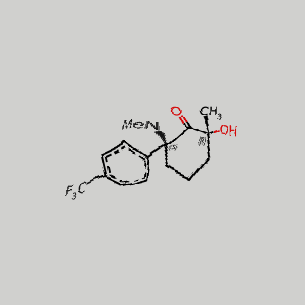 CN[C@]1(c2ccc(C(F)(F)F)cc2)CCC[C@@](C)(O)C1=O